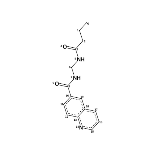 CCCC(=O)NCNC(=O)c1ccc2ncccc2c1